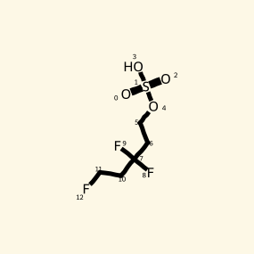 O=S(=O)(O)OCCC(F)(F)CCF